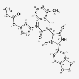 COC(=O)Oc1csc(NC(=O)[C@H](Cc2ccccc2C)N2C(=O)NC(c3ccc4c(c3)OCO4)C2=O)n1